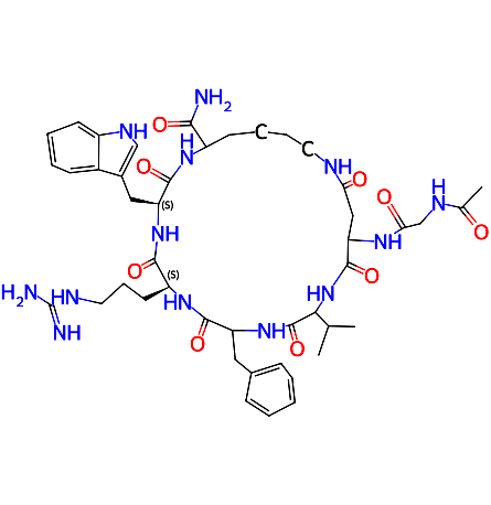 CC(=O)NCC(=O)NC1CC(=O)NCCCCC(C(N)=O)NC(=O)[C@H](Cc2c[nH]c3ccccc23)NC(=O)[C@H](CCCNC(=N)N)NC(=O)C(Cc2ccccc2)NC(=O)C(C(C)C)NC1=O